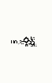 CCCCCc1c(OC(=O)O)cccc1-c1ccccc1CC